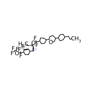 CCCC1CCC(C2CCC(C3CCC(C(F)(F)O[C@@H](/C=C\C4C=C(F)C(C(F)(F)OC(F)(F)F)CC4)CC)CC3)OC2)CC1